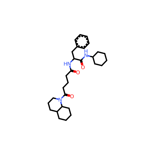 O=C(CCCC(=O)N1CCCC2CCCCC21)NC(Cc1ccccc1)C(=O)NC1CCCCC1